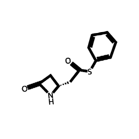 O=C1C[C@H](CC(=O)Sc2ccccc2)N1